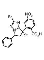 [2H]C1(c2cc([N+](=O)[O-])ccc2C(=O)O)CC(c2ccccc2)n2nc(Br)nc21